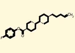 C=CCCC[C@H]1CC[C@H]([C@H]2CC[C@H](C(=O)Oc3ccc(F)cc3)CC2)CC1